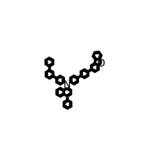 c1ccc(-c2cccc(-c3ccc(N(c4ccc(-c5ccc(-c6ccc7oc8ccccc8c7c6)cc5)cc4)c4ccc(-c5ccccc5)c5ccccc45)cc3)c2)cc1